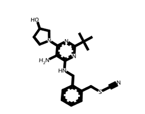 CC(C)(C)c1nc(NCc2ccccc2CSC#N)c(N)c(N2CCC(O)C2)n1